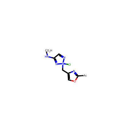 CC(=O)c1nc(C[N+]2(Cl)N=CC(NC(=O)O)=N2)co1